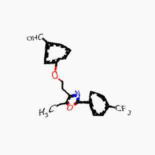 Cc1oc(-c2ccc(C(F)(F)F)cc2)nc1CCOc1cccc(C=O)c1